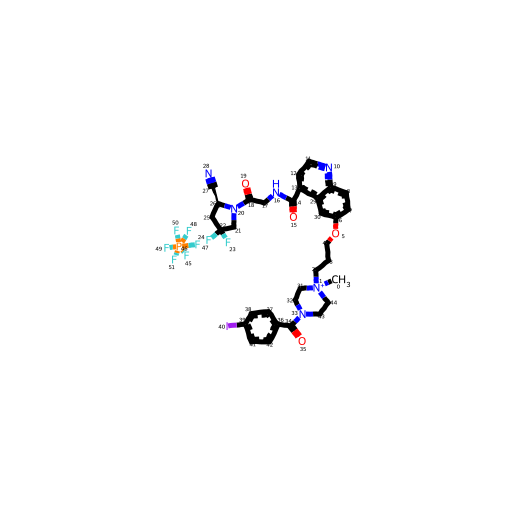 C[N+]1(CCCOc2ccc3nccc(C(=O)NCC(=O)N4CC(F)(F)C[C@H]4C#N)c3c2)CCN(C(=O)c2ccc(I)cc2)CC1.F[P-](F)(F)(F)(F)F